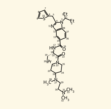 CCC(CC)n1c(Cc2cccs2)nc2cc(C(=O)N[C@@H](CC(C)C)C(=O)N3CCC(N(C)CCN(C)C)CC3)ccc21